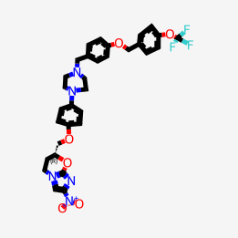 O=[N+]([O-])c1cn2c(n1)O[C@@H](COc1ccc(N3CCN(Cc4ccc(OCc5ccc(OC(F)(F)F)cc5)cc4)CC3)cc1)CC2